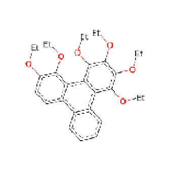 CCOc1ccc2c3ccccc3c3c(OCC)c(OCC)c(OCC)c(OCC)c3c2c1OCC